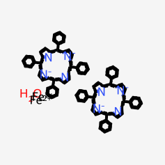 C1=Cc2nc1c(-c1ccccc1)c1ccc([n-]1)c(-c1ccccc1)c1nc(c(-c3ccccc3)c3ccc([n-]3)c2-c2ccccc2)C=C1.C1=Cc2nc1c(-c1ccccc1)c1ccc([n-]1)c(-c1ccccc1)c1nc(c(-c3ccccc3)c3ccc([n-]3)c2-c2ccccc2)C=C1.O.[Fe+2].[Fe+2]